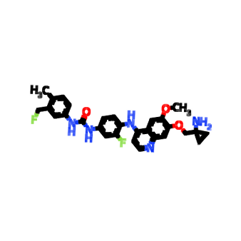 COc1cc2c(Nc3ccc(NC(=O)Nc4ccc(C)c(CF)c4)cc3F)ccnc2cc1OCC1(N)CC1